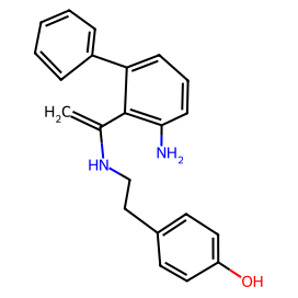 C=C(NCCc1ccc(O)cc1)c1c(N)cccc1-c1ccccc1